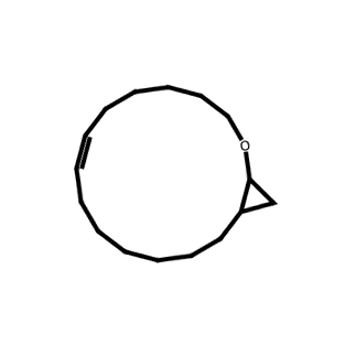 C1=CCCCCCOC2CC2CCCCCC1